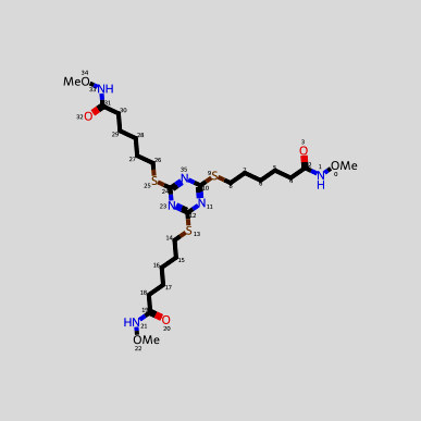 CONC(=O)CCCCCSc1nc(SCCCCCC(=O)NOC)nc(SCCCCCC(=O)NOC)n1